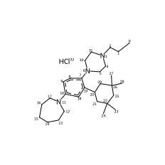 CCCN1CCN(c2ccc(N3CCCCCC3)cc2C2CC(C)(C)CC(C)(C)C2)CC1.Cl